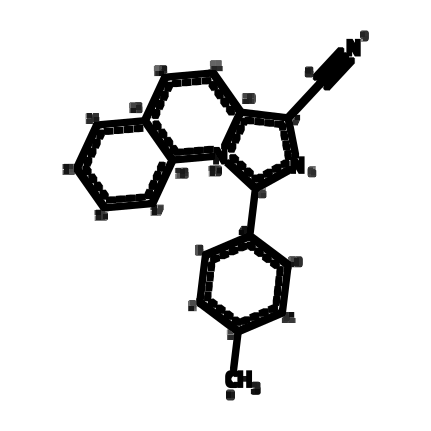 Cc1ccc(-c2nc(C#N)c3ccc4ccccc4n23)cc1